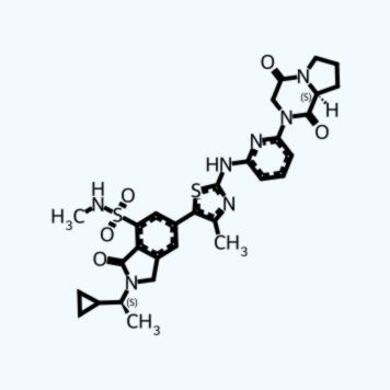 CNS(=O)(=O)c1cc(-c2sc(Nc3cccc(N4CC(=O)N5CCC[C@H]5C4=O)n3)nc2C)cc2c1C(=O)N([C@@H](C)C1CC1)C2